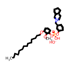 CCCCCCCCCCCCCCOc1cccc(OP(=O)(O)Oc2cccc(C[n+]3ccc4ccccc4c3)c2)c1OC.[OH-]